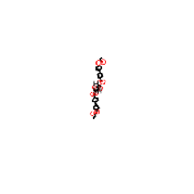 C=CC(=O)Oc1ccc(-c2ccc(C(=O)O[C@H]3CO[C@H]4[C@@H]3OC[C@H]4OC(=O)c3ccc(-c4ccc(OC(=O)C=C)cc4)cc3)cc2)cc1